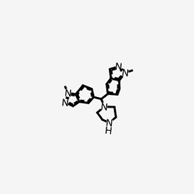 Cn1ncc2cc(C(c3ccc4c(cnn4C)c3)N3CCNCC3)ccc21